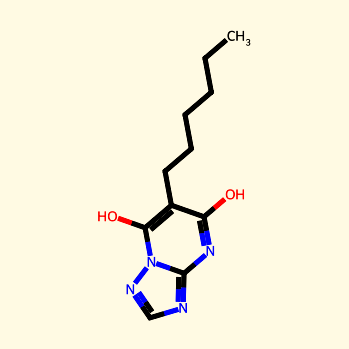 CCCCCCc1c(O)nc2ncnn2c1O